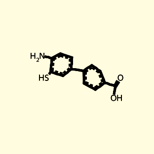 Nc1ccc(-c2ccc(C(=O)O)cc2)cc1S